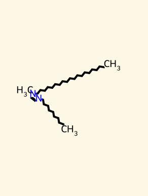 CCCCCCCCCCCCCCCCCCCC1N(C)C=CN1CCCCCCCCCC